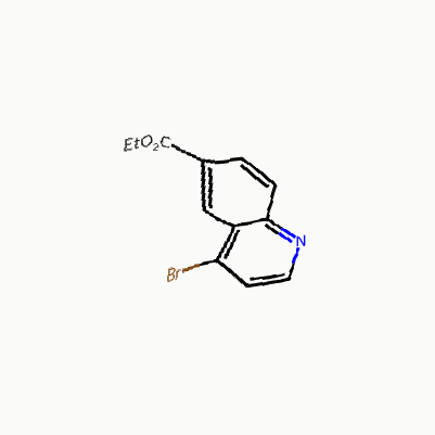 CCOC(=O)c1ccc2nccc(Br)c2c1